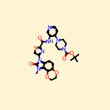 Cn1c(=O)n(-c2csc(C(=O)Nc3cnccc3N3CCN(C(=O)OC(C)(C)C)CC3)n2)c2ccc3c(c21)OCCO3